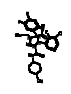 CC(C)(C)C[C@@H]1N[C@@H](C(=O)N[C@H]2CC[C@H](O)CC2)[C@H](c2cccc(Cl)c2F)[C@]12C(=O)Nc1cc(F)c(F)cc12